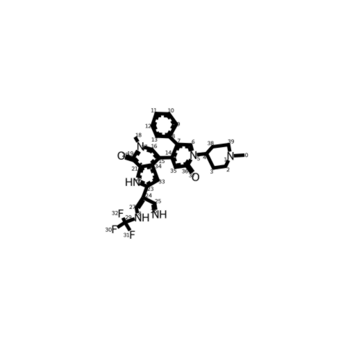 CN1CCC(n2cc(-c3ccccc3)c(-c3cn(C)c(=O)c4[nH]c(/C(C=N)=C/NC(F)(F)F)cc34)cc2=O)CC1